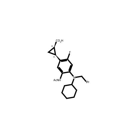 CC(=O)Nc1cc([C@H]2C[C@H]2C(=O)O)c(F)cc1N(CC(C)C)C1CCCCC1